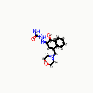 NC(=O)NN=C1C=C(CN2CCOCC2)c2ccccc2C1=O